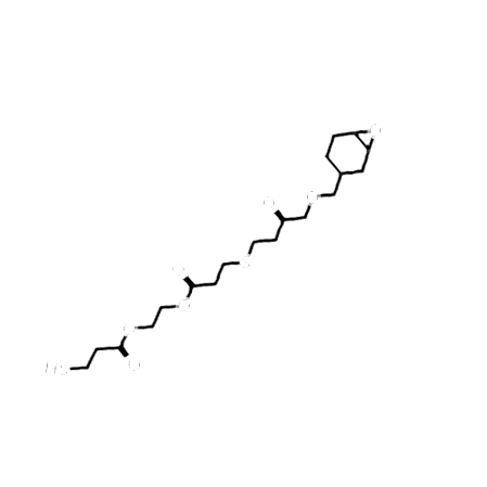 O=C(CCSCCC(=O)OCCOC(=O)CCS)COCC1CCC2OC2C1